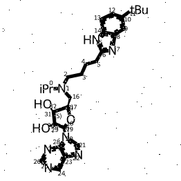 CC(C)N(CCCCc1nc2cc(C(C)(C)C)ccc2[nH]1)C[C@H]1O[C@@H](n2cnc3cncnc32)[C@H](O)[C@@H]1O